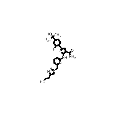 CC(C)(O)c1ccc(-c2cc(C(N)=O)c(Nc3cccc(Cn4cc(CCO)nn4)n3)s2)c(F)c1